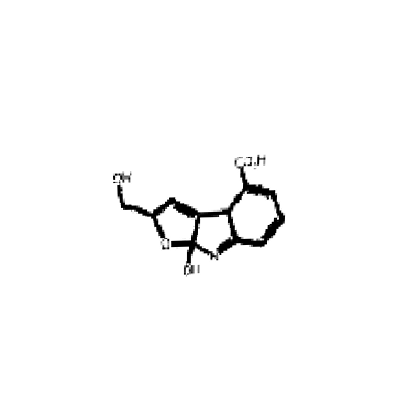 O=C(O)C1=CC=CC2=NC3(O)OC(CO)C=C3C12